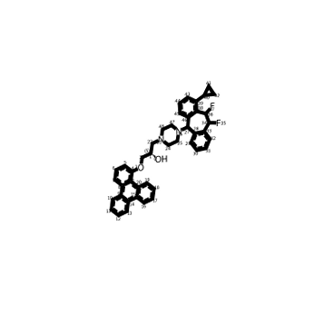 O[C@H](COc1cccc2c3ccccc3c3ccccc3c12)CN1CCN(C2c3ccccc3C(F)C(F)c3c(C4CC4)cccc32)CC1